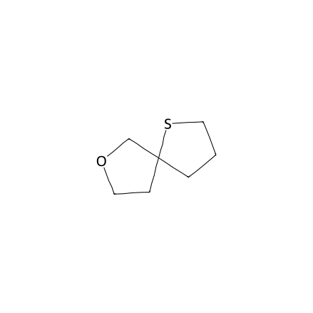 C1CSC2(C1)CCOC2